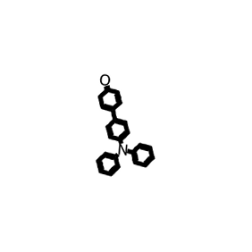 O=C1C=CC(c2ccc(N(c3ccccc3)c3ccccc3)cc2)=CC1